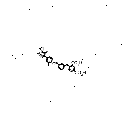 Cc1cc(-c2nn(C)c(Cl)c2C)ccc1OCc1cccc(Cc2ccc(C(=O)O)cc2C(=O)O)c1